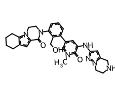 Cn1cc(-c2cccc(N3CCn4c(cc5c4CCCC5)C3=O)c2CO)cc(Nc2cc3n(n2)CCNC3)c1=O